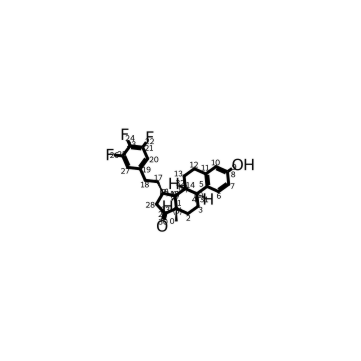 C[C@]12CC[C@@H]3c4ccc(O)cc4CC[C@H]3[C@@H]1[C@H](CCc1cc(F)c(F)c(F)c1)CC2=O